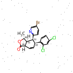 C[C@H]1OC(=O)[C@@H]2C=C[C@H](c3ccc(Cl)cc3Cl)[C@H](c3ccc(Br)cn3)[C@H]12